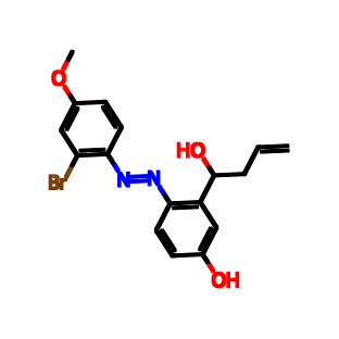 C=CCC(O)c1cc(O)ccc1N=Nc1ccc(OC)cc1Br